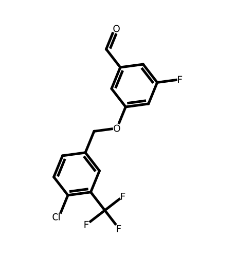 O=Cc1cc(F)cc(OCc2ccc(Cl)c(C(F)(F)F)c2)c1